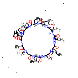 CC(C)CC[C@@H]1C(=O)N[C@H](C)C(=O)N[C@H](C)C(=O)N(C)[C@H](CC(C)C)C(=O)N(C)[C@H](CC(C)C)C(=O)N(C)[C@H](C(C)C)C(=O)N(C)[C@@H]([C@@H]2OCC[C@H]2C)C(=O)N[C@@H](C(C)C)C(=O)N(C)CC(=O)N(C)[C@@H](CC(C)C)C(=O)N[C@H](C(C)C)C(=O)N1C